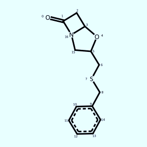 O=C1CC2OC(CSCc3ccccc3)CN12